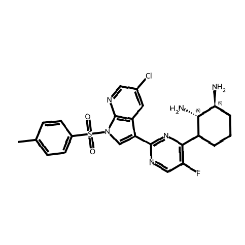 Cc1ccc(S(=O)(=O)n2cc(-c3ncc(F)c(C4CCC[C@H](N)[C@H]4N)n3)c3cc(Cl)cnc32)cc1